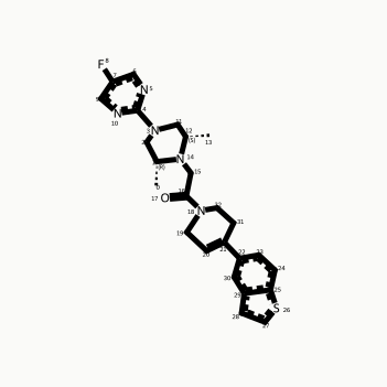 C[C@@H]1CN(c2ncc(F)cn2)C[C@H](C)N1CC(=O)N1CC=C(c2ccc3sccc3c2)CC1